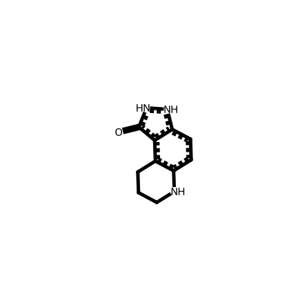 O=c1[nH][nH]c2ccc3c(c12)CCCN3